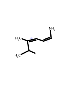 C/C(=C/C=C\N)C(C)I